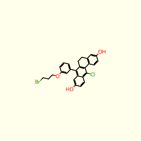 Oc1ccc2c(c1)CCc1c-2c(Cl)c2ccc(O)cc2c1-c1cccc(OCCCBr)c1